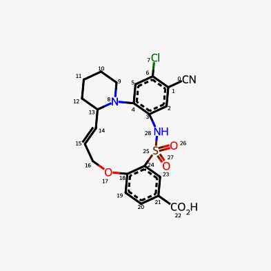 N#Cc1cc2c(cc1Cl)N1CCCCC1/C=C/COc1ccc(C(=O)O)cc1S(=O)(=O)N2